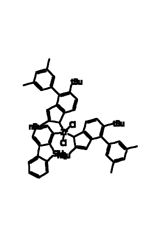 CCCCC1=Cc2c(ccc(C(C)(C)C)c2-c2cc(C)cc(C)c2)[CH]1[Zr]([Cl])([Cl])([c]1cccc2c1[SiH2]c1ccccc1-2)[CH]1C(CCCC)=Cc2c1ccc(C(C)(C)C)c2-c1cc(C)cc(C)c1